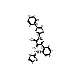 O=C1/C(=N/Nc2nccs2)C(c2ccccc2)=NN1c1nc(-c2ccccc2)cs1